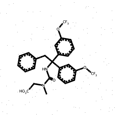 CN(CC(=O)O)C(=O)NC(Cc1ccccc1)(c1cccc(OC(F)(F)F)c1)c1cccc(OC(F)(F)F)c1